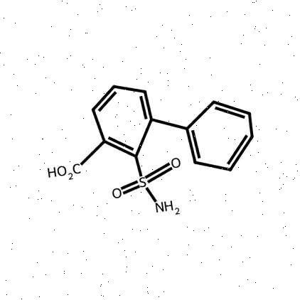 NS(=O)(=O)c1c(C(=O)O)cccc1-c1ccccc1